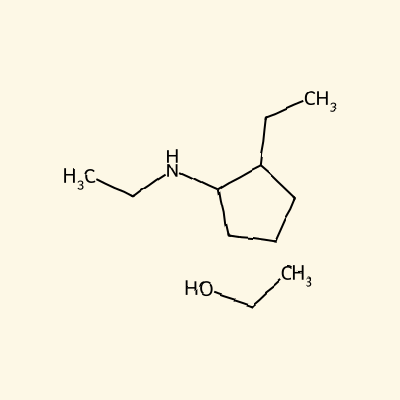 CCNC1CCCC1CC.CCO